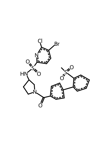 CS(=O)(=O)c1ccccc1-c1ccc(C(=O)N2CCC(NS(=O)(=O)c3ccc(Br)c(Cl)n3)C2)cc1